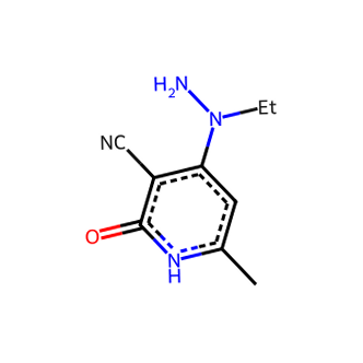 CCN(N)c1cc(C)[nH]c(=O)c1C#N